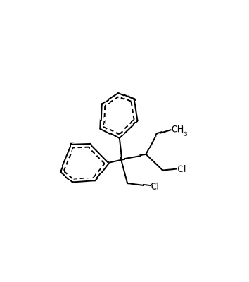 CCC(CCl)C(CCl)(c1ccccc1)c1ccccc1